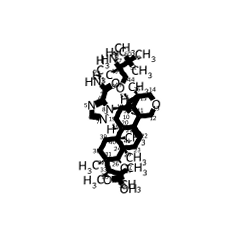 CNC(=O)c1ncnn1[C@@H]1C[C@@]23COC[C@](C)([C@@H]2CC[C@H]2C3=CC[C@]3(C)[C@H](OC(=O)O)[C@@](C)([C@H](C)C(C)C)CC[C@]23C)[C@H]1OC[C@](C)(NC)C(C)(C)C